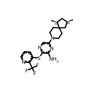 C[C@@H]1C[C@H](C)C2(CCN(c3cnc(Sc4cccnc4C(F)(F)F)c(N)n3)CC2)C1